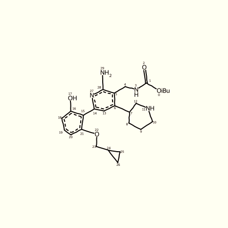 CC(C)COC(=O)NCc1c(C2CCCNC2)cc(-c2c(O)cccc2OCC2CC2)nc1N